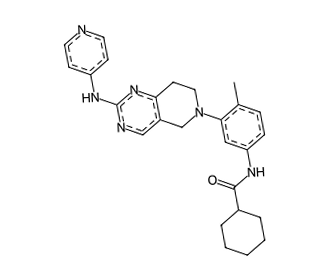 Cc1ccc(NC(=O)C2CCCCC2)cc1N1CCc2nc(Nc3ccncc3)ncc2C1